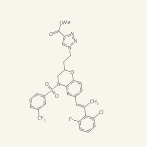 COC(=O)c1cn(CCC2CN(S(=O)(=O)c3cccc(C(F)(F)F)c3)c3cc(/C=C(\C)c4c(F)cccc4Cl)ccc3O2)nn1